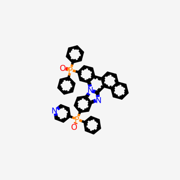 O=P(c1ccccc1)(c1ccncc1)c1ccc2c(c1)nc1c3c4ccccc4ccc3c3ccc(P(=O)(c4ccccc4)c4ccccc4)cc3n21